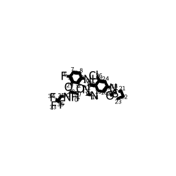 C[C@@H](Oc1cc(F)ccc1Nc1ncnc2cc(N=S3(=O)CCC3)cc(Cl)c12)C(=O)NCC(F)(F)F